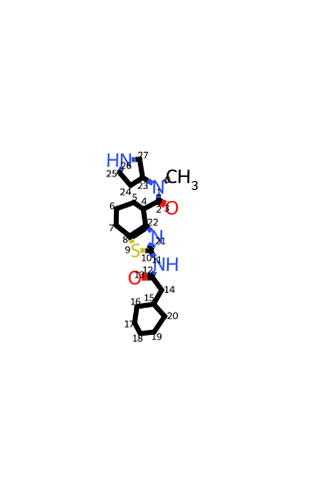 CN(C(=O)C1CCCc2sc(NC(=O)CC3CCCCC3)nc21)C1CCNC1